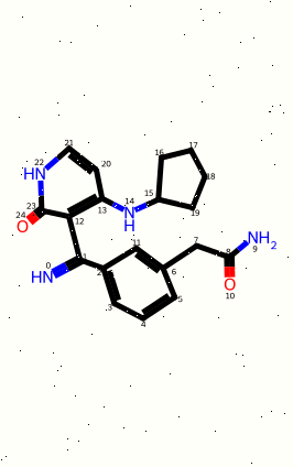 N=C(c1cccc(CC(N)=O)c1)c1c(NC2CCCC2)cc[nH]c1=O